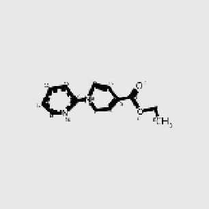 CCOC(=O)C1=CCN(c2ccccn2)C=C1